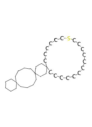 C1CCCCCCC2(CCCCCCSCCCCC1)CCC1(CCCCC3(CCCCC3)CCCC1)CC2